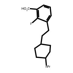 CCCC1CCC(CCc2cccc(C(=O)O)c2F)CC1